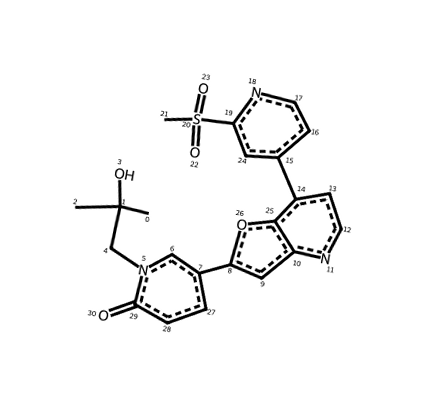 CC(C)(O)Cn1cc(-c2cc3nccc(-c4ccnc(S(C)(=O)=O)c4)c3o2)ccc1=O